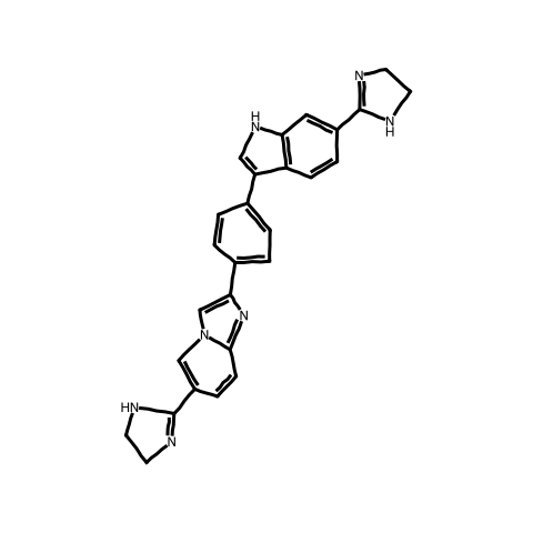 c1cc2c(-c3ccc(-c4cn5cc(C6=NCCN6)ccc5n4)cc3)c[nH]c2cc1C1=NCCN1